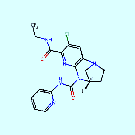 O=C(NCC(F)(F)F)c1nc2c(cc1Cl)N1CC[C@@H](C1)N2C(=O)Nc1ccccn1